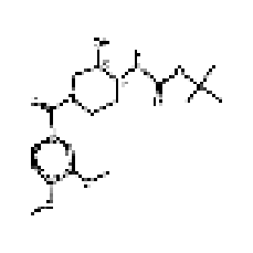 COc1ccc(C(=O)N2CC[C@H](NC(=O)OC(C)(C)C)[C@H](O)C2)cc1OC